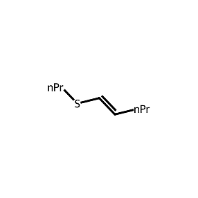 CCCC=CSCCC